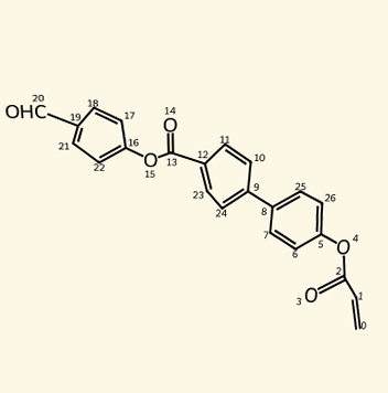 C=CC(=O)Oc1ccc(-c2ccc(C(=O)Oc3ccc(C=O)cc3)cc2)cc1